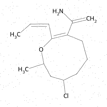 C=C(N)/C1=C(\C=C/C)OC(C)CC(Cl)CCC1